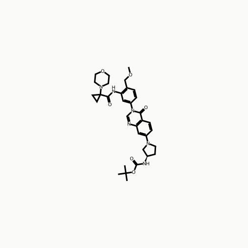 COCc1ccc(-n2cnc3cc(N4CC[C@@H](NC(=O)OC(C)(C)C)C4)ccc3c2=O)cc1NC(=O)C1(N2CCOCC2)CC1